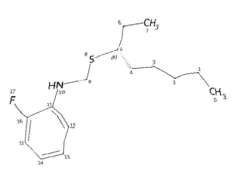 CCCCC[C@@H](CC)SCNc1ccccc1F